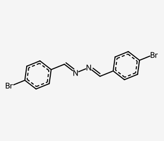 Brc1ccc(/C=N/N=C/c2ccc(Br)cc2)cc1